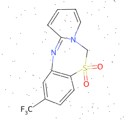 O=S1(=O)CN2C=CC=CC2=Nc2cc(C(F)(F)F)ccc21